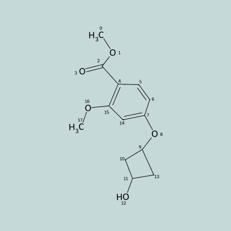 COC(=O)c1ccc(OC2CC(O)C2)cc1OC